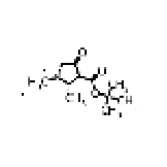 C[C@H]1C(C(=O)OC(C)(C)C)C(=O)CN1C